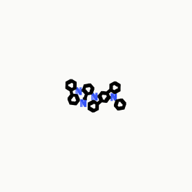 N#Cc1c(-n2c3ccccc3c3ccccc32)cccc1-n1c2ccccc2c2cc3c(cc21)c1ccccc1n3-c1ccccc1